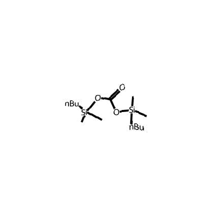 CCCC[Si](C)(C)OC(=O)O[Si](C)(C)CCCC